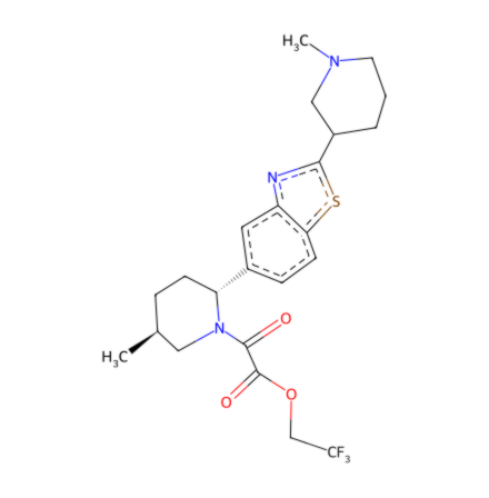 C[C@H]1CC[C@H](c2ccc3sc(C4CCCN(C)C4)nc3c2)N(C(=O)C(=O)OCC(F)(F)F)C1